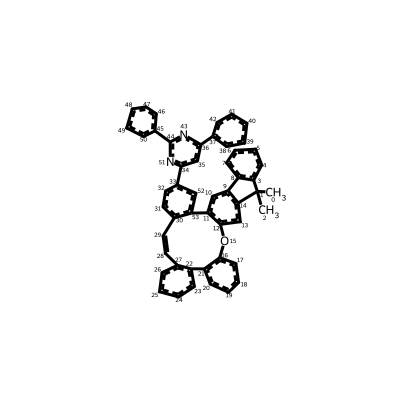 CC1(C)c2ccccc2-c2cc3c(cc21)Oc1ccccc1-c1ccccc1/C=C\c1ccc(-c2cc(-c4ccccc4)nc(-c4ccccc4)n2)cc1-3